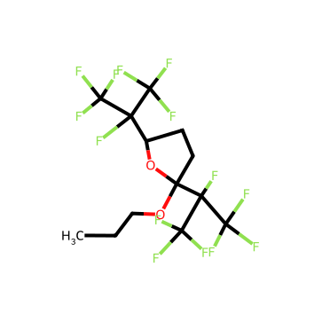 CCCOC1(C(F)(C(F)(F)F)C(F)(F)F)CCC(C(F)(C(F)(F)F)C(F)(F)F)O1